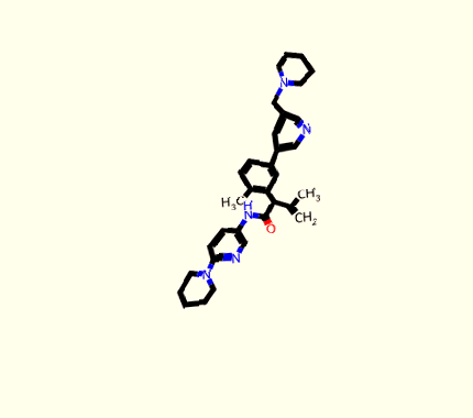 C=C(C)C(C(=O)Nc1ccc(N2CCCCC2)nc1)c1cc(-c2cncc(CN3CCCCC3)c2)ccc1C